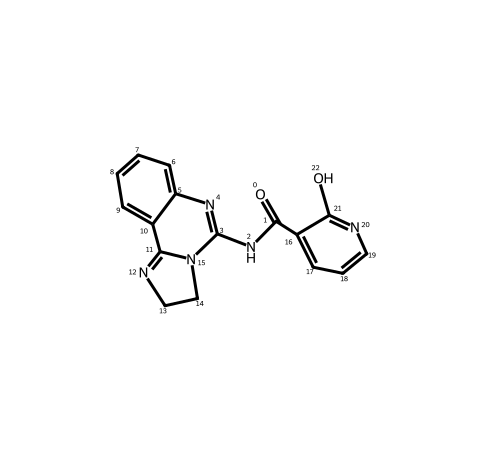 O=C(NC1=Nc2ccccc2C2=NCCN12)c1cccnc1O